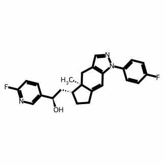 C[C@]12Cc3cnn(-c4ccc(F)cc4)c3C=C1CC[C@@H]2C[C@@H](O)c1ccc(F)nc1